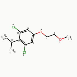 COCCOc1cc(Cl)c(C(C)C)c(Cl)c1